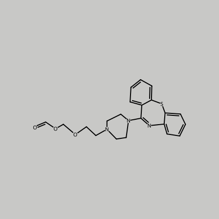 O=COCOCCN1CCN(C2=Nc3ccccc3Sc3ccccc32)CC1